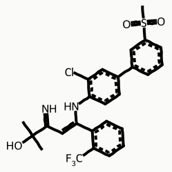 CC(C)(O)C(=N)/C=C(\Nc1ccc(-c2cccc(S(C)(=O)=O)c2)cc1Cl)c1ccccc1C(F)(F)F